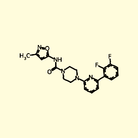 Cc1cc(NC(=O)N2CCN(c3cccc(-c4cccc(F)c4F)n3)CC2)on1